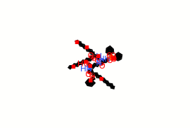 CCCCCCCCCCCC(=O)O[C@H](CCCCCCCCCCC)CC(=O)NC(CCOP(=O)(Oc1ccccc1)Oc1ccccc1)C(=O)NCCCC(CO)NC(=O)C[C@@H](CCCCCCCCCCC)OCc1ccccc1